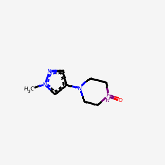 Cn1cc(N2CC[PH](=O)CC2)cn1